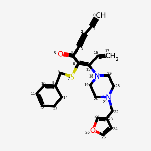 C#CC#CC(=O)/C(SCC1=CC=CCC1)=C(\C=C)N1CCN(Cc2ccoc2)CC1